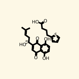 CC(C)=CC[C@@H](O)C1=CC(=O)c2c(O)ccc(O)c2C1=O.O=C(O)CCCc1cccs1